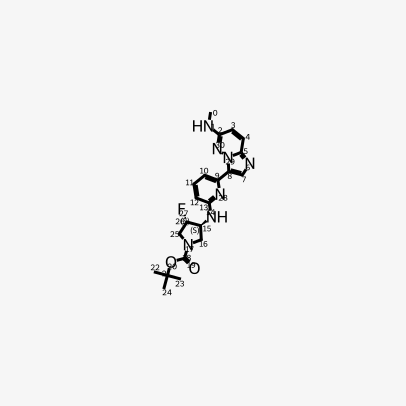 CNc1ccc2ncc(-c3cccc(N[C@H]4CN(C(=O)OC(C)(C)C)C[C@@H]4F)n3)n2n1